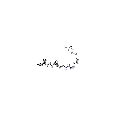 CCCCC/C=C\C\C=C/C=C/C=C/[C@@H]1O[C@H]1CCCC(=O)O